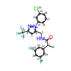 CC(C(=O)NCc1cc(C(F)(F)F)nn1-c1cccc(Cl)c1)c1cc(F)cc(F)c1